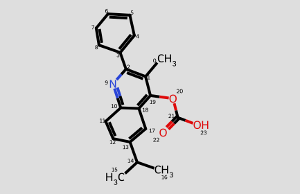 Cc1c(-c2ccccc2)nc2ccc(C(C)C)cc2c1OC(=O)O